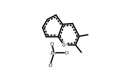 Cc1cc2ccccc2[o+]c1C.[Cl][Zn-]([Cl])[Cl]